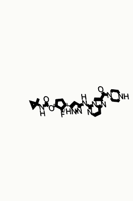 CC1(NC(=O)O[C@@H]2CC[C@H](c3cc(Nc4nccc5nc(C(=O)N6CCNCC6)cn45)n[nH]3)[C@H]2F)CC1